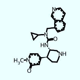 Cn1ccc([C@@H]2CCNC[C@H]2NC(=O)N(Cc2cccc3ccncc23)C2CC2)cc1=O